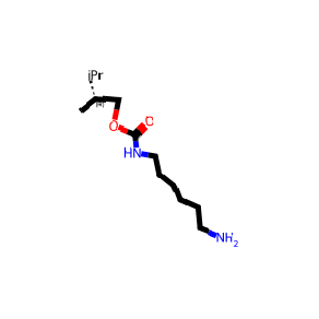 CC(C)[C@@H](C)COC(=O)NCCCCCCN